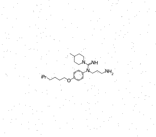 CC(C)CCCCOc1ccc(N(CCCN)C(=N)N2CCC(C)CC2)cc1